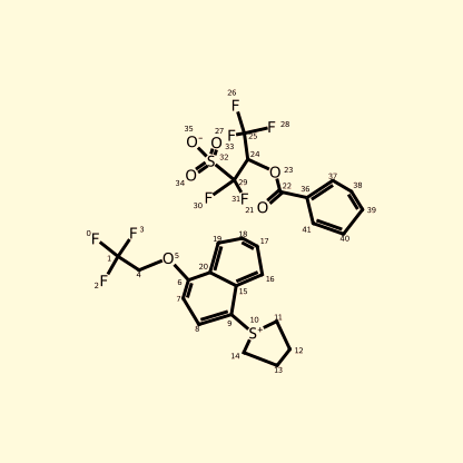 FC(F)(F)COc1ccc([S+]2CCCC2)c2ccccc12.O=C(OC(C(F)(F)F)C(F)(F)S(=O)(=O)[O-])c1ccccc1